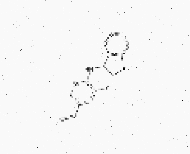 O=Cc1cnc(NC2CCc3ccccc32)c(Cl)c1